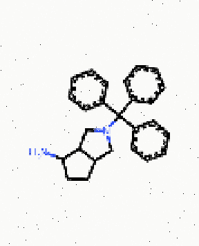 NC1CCC2CN(C(c3ccccc3)(c3ccccc3)c3ccccc3)CC12